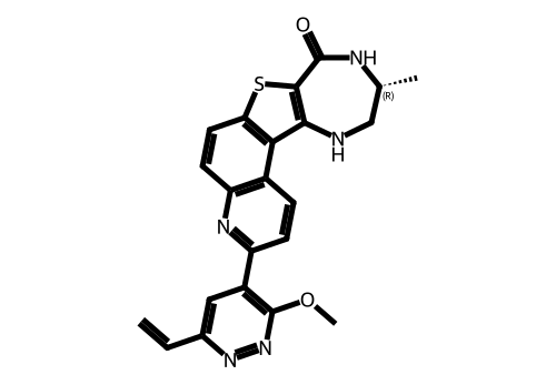 C=Cc1cc(-c2ccc3c(ccc4sc5c(c43)NC[C@@H](C)NC5=O)n2)c(OC)nn1